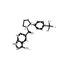 Cc1n[nH]c2ncc(C(=O)N3CCC[C@H]3c3ccc(C(F)(F)F)cc3)cc12